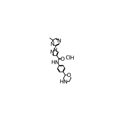 Cc1cncc(-n2cc(C(=O)Nc3ccc(C4CNCCO4)cc3)cn2)n1.Cl